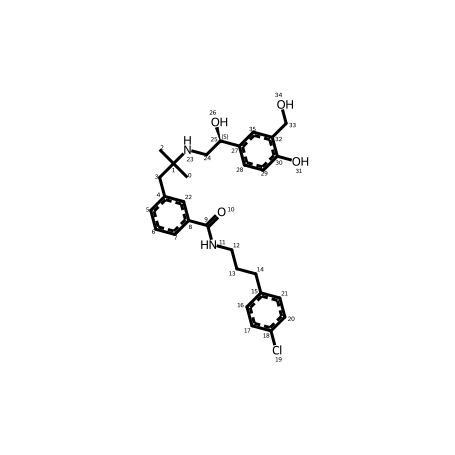 CC(C)(Cc1cccc(C(=O)NCCCc2ccc(Cl)cc2)c1)NC[C@@H](O)c1ccc(O)c(CO)c1